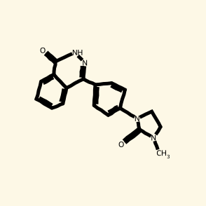 CN1CCN(c2ccc(-c3n[nH]c(=O)c4ccccc34)cc2)C1=O